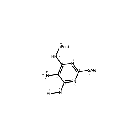 CCCCCNc1nc(SC)nc(NCC)c1[N+](=O)[O-]